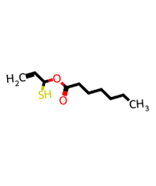 C=CC(S)OC(=O)CCCCCC